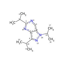 CC(C)c1ncc2c(n1)c(C(C)C)nn2C(C)C